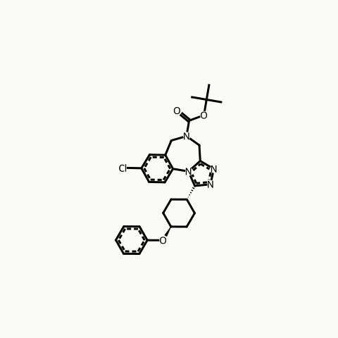 CC(C)(C)OC(=O)N1Cc2cc(Cl)ccc2-n2c(nnc2[C@H]2CC[C@H](Oc3ccccc3)CC2)C1